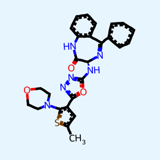 Cc1cc(-c2nnc(N[C@H]3N=C(c4ccccc4)c4ccccc4NC3=O)o2)c(N2CCOCC2)s1